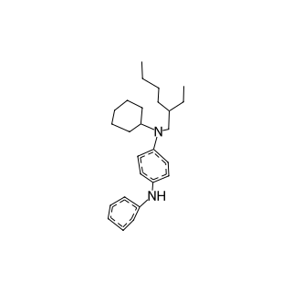 CCCCC(CC)CN(c1ccc(Nc2ccccc2)cc1)C1CCCCC1